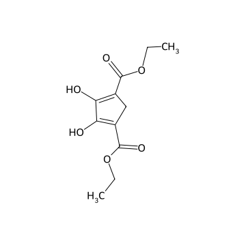 CCOC(=O)C1=C(O)C(O)=C(C(=O)OCC)C1